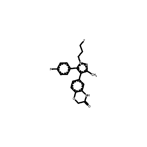 Cc1nn(CCCF)c(-c2ccc(F)cc2)c1-c1ccc2c(c1)NC(=O)CO2